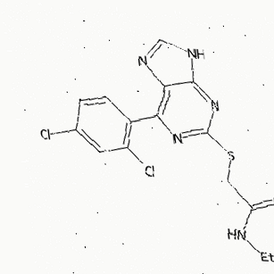 CCNC(=O)CSc1nc(-c2ccc(Cl)cc2Cl)c2nc[nH]c2n1